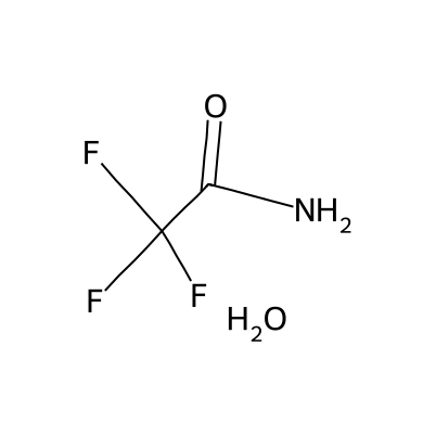 NC(=O)C(F)(F)F.O